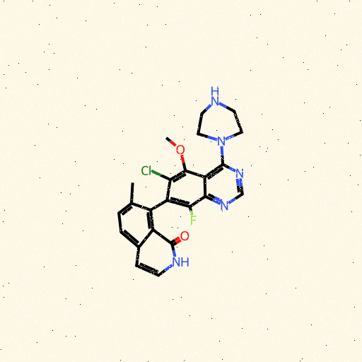 COc1c(Cl)c(-c2c(C)ccc3cc[nH]c(=O)c23)c(F)c2ncnc(N3CCNCC3)c12